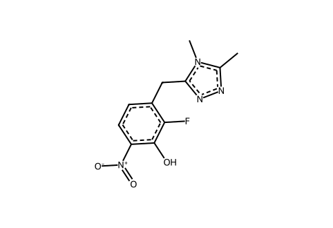 Cc1nnc(Cc2ccc([N+](=O)[O-])c(O)c2F)n1C